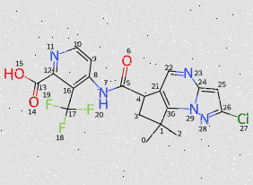 CC1(C)CC(C(=O)Nc2ccnc(C(=O)O)c2C(F)(F)F)c2cnc3cc(Cl)nn3c21